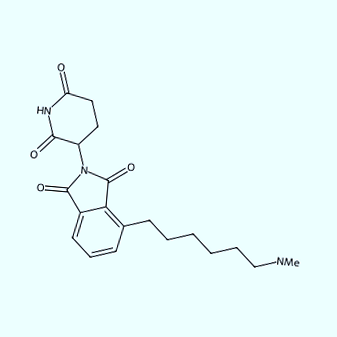 CNCCCCCCc1cccc2c1C(=O)N(C1CCC(=O)NC1=O)C2=O